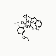 CCOC1=CC(S(=O)(=O)N(C2CC2)[N+]2(C(N)=O)C(C)=Cc3ccccc32)=C(O)CC1